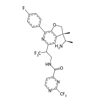 C[C@@H](N)[C@@]1(C)COc2c1cc(C(CNC(=O)c1ccnc(C(F)(F)F)n1)C(F)(F)F)nc2-c1ccc(F)cc1